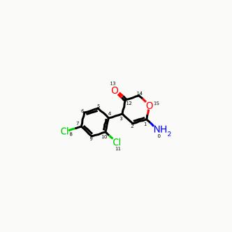 NC1=CC(c2ccc(Cl)cc2Cl)C(=O)CO1